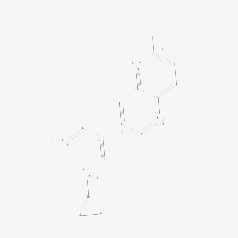 N=C/C(=C\NC1CC1)c1cnc2ccc(Cl)nc2c1